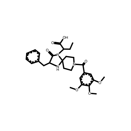 CCC(C(=O)O)N1C(=O)C(Cc2ccccc2)NC12CCN(C(=O)c1cc(OC)c(OC)c(OC)c1)CC2